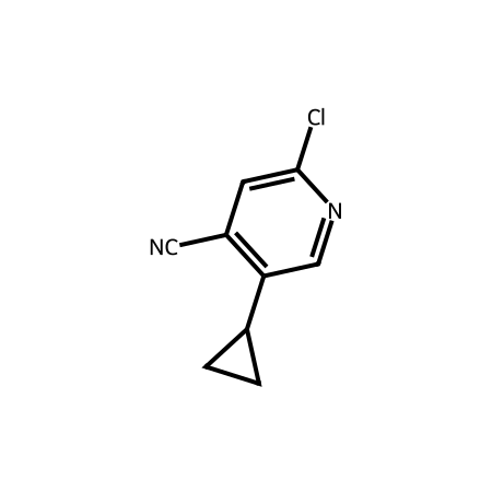 N#Cc1cc(Cl)ncc1C1CC1